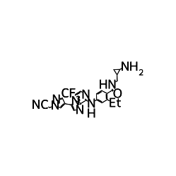 CCc1cc(Nc2nccn3c(-c4cn(CC#N)nc4C(F)(F)F)cnc23)ccc1C(=O)NCC1CC1N